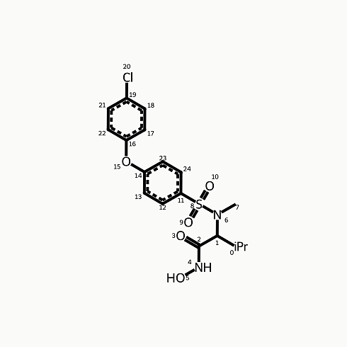 CC(C)C(C(=O)NO)N(C)S(=O)(=O)c1ccc(Oc2ccc(Cl)cc2)cc1